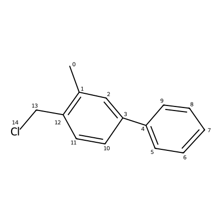 Cc1cc(-c2ccccc2)ccc1CCl